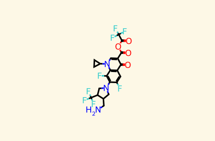 NCC1CN(c2c(F)cc3c(=O)c(C(=O)OC(=O)C(F)(F)F)cn(C4CC4)c3c2F)CC1C(F)(F)F